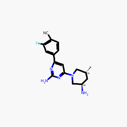 C[C@@H]1C[C@@H](N)CN(c2cc(-c3ccc(C#N)c(F)c3)nc(N)n2)C1